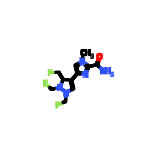 Cn1cc(C2=CN(CF)N(CF)C2CF)nc1C(N)=O